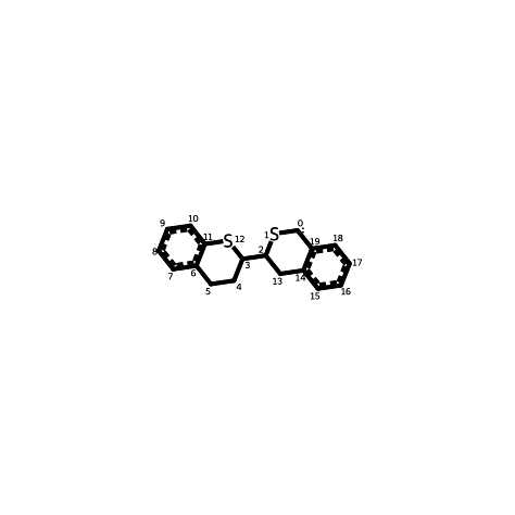 [C]1SC(C2CCc3ccccc3S2)Cc2ccccc21